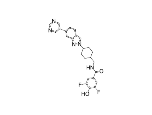 O=C(NCC1CCC(n2cc3ccc(-c4cncnc4)cc3n2)CC1)c1cc(F)c(O)c(F)c1